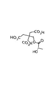 CC(O)C(=O)OCC(CC(=O)O)(CC(=O)O)CC(=O)O